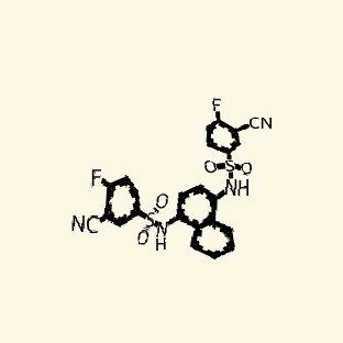 N#Cc1cc(S(=O)(=O)Nc2ccc(NS(=O)(=O)c3ccc(F)c(C#N)c3)c3ccccc23)ccc1F